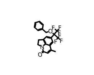 Cc1cc(=O)n2c3c(cc(C(OCc4ccccc4)(C(F)(F)F)C(F)(F)F)cc13)CC2